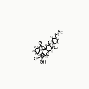 CC(=O)CCc1ccc(N(C)c2cc3c(cc2Cl)C2(OC(=O)c4ccccc42)c2cc(Cl)c(O)cc2O3)cc1